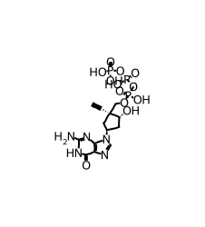 C#C[C@@]1(COP(=O)(O)OP(=O)(O)OP(=O)(O)O)C[C@H](n2cnc3c(=O)[nH]c(N)nc32)C[C@H]1O